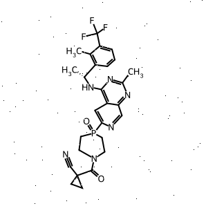 Cc1nc(N[C@H](C)c2cccc(C(F)(F)F)c2C)c2cc(P3(=O)CCN(C(=O)C4(C#N)CC4)CC3)ncc2n1